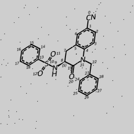 N#Cc1ccc2c(c1)C[C@H](NS(=O)(=O)c1ccccc1)C(=O)N2Cc1ccccc1